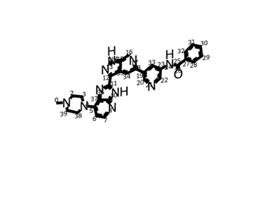 CN1CCN(c2ccnc3[nH]c(-c4n[nH]c5cnc(-c6cncc(NC(=O)c7ccccc7)c6)cc45)nc23)CC1